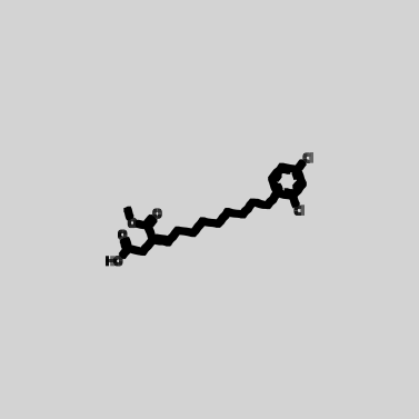 COC(=O)C(=CCCCCCCCCc1ccc(Cl)cc1Cl)CC(=O)O